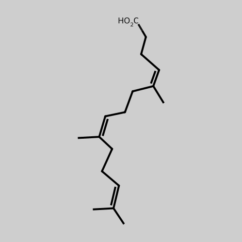 CC(C)=CCCC(C)=CCCC(C)=CCCC(=O)O